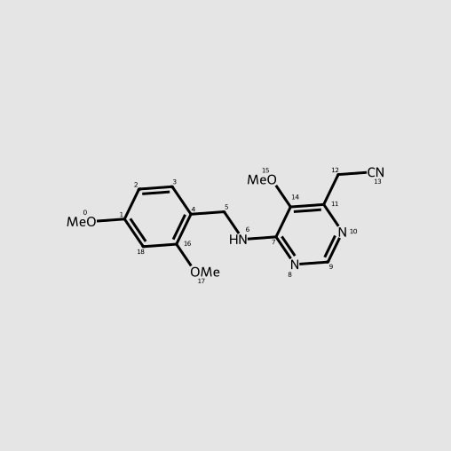 COc1ccc(CNc2ncnc(CC#N)c2OC)c(OC)c1